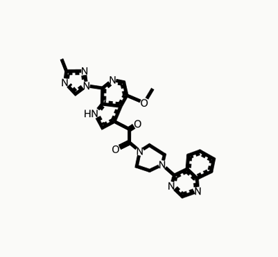 COc1cnc(-n2cnc(C)n2)c2[nH]cc(C(=O)C(=O)N3CCN(c4ncnc5ccccc45)CC3)c12